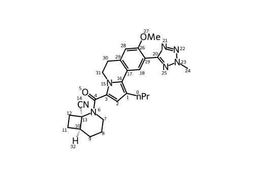 CCCc1cc(C(=O)N2CCC[C@H]3CC[C@]32C#N)n2c1-c1cc(-c3nnn(C)n3)c(OC)cc1CC2